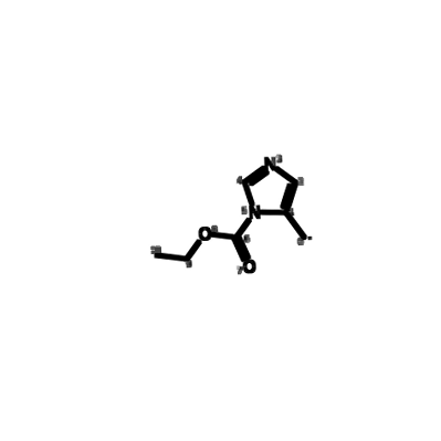 [CH2]c1cncn1C(=O)OCC